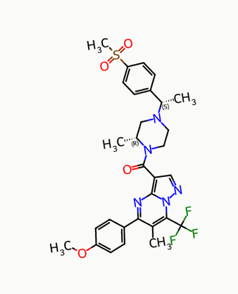 COc1ccc(-c2nc3c(C(=O)N4CCN([C@@H](C)c5ccc(S(C)(=O)=O)cc5)C[C@H]4C)cnn3c(C(F)(F)F)c2C)cc1